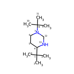 CC(C)(C)C1CCN(C(C)(C)C)CN1